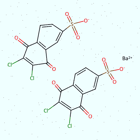 O=C1C(Cl)=C(Cl)C(=O)c2cc(S(=O)(=O)[O-])ccc21.O=C1C(Cl)=C(Cl)C(=O)c2cc(S(=O)(=O)[O-])ccc21.[Ba+2]